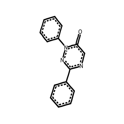 O=c1cnc(-c2ccccc2)nn1-c1ccccc1